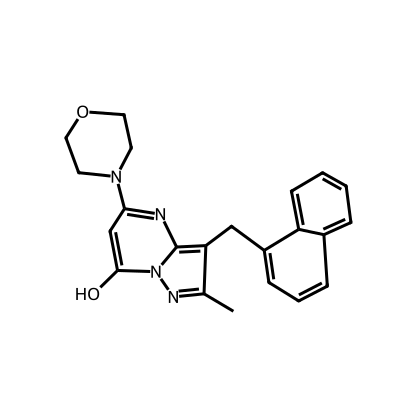 Cc1nn2c(O)cc(N3CCOCC3)nc2c1Cc1cccc2ccccc12